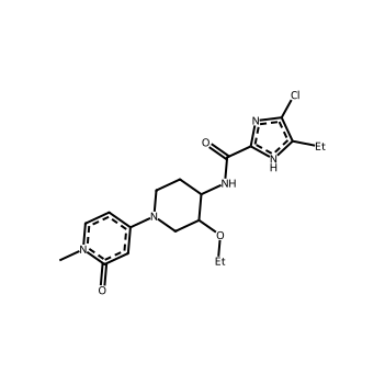 CCOC1CN(c2ccn(C)c(=O)c2)CCC1NC(=O)c1nc(Cl)c(CC)[nH]1